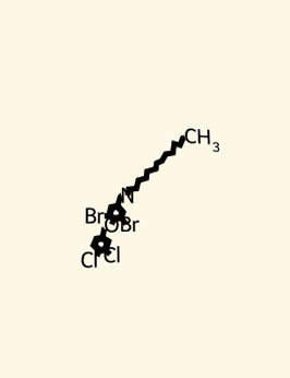 CCCCCCCCCCCCCCN=Cc1cc(Br)c(OCc2ccc(Cl)c(Cl)c2)c(Br)c1